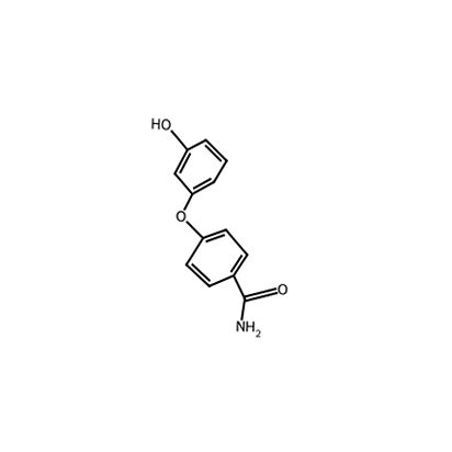 NC(=O)c1ccc(Oc2cccc(O)c2)cc1